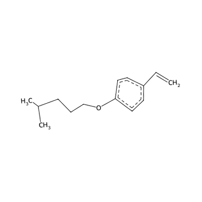 C=Cc1ccc(OCCCC(C)C)cc1